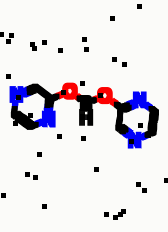 B(Oc1cnccn1)Oc1cnccn1